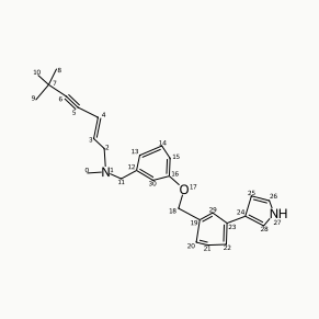 CN(CC=CC#CC(C)(C)C)Cc1cccc(OCc2cccc(-c3cc[nH]c3)c2)c1